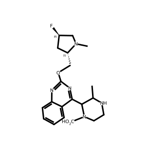 CC1NCCN(C(=O)O)C1c1nc(OC[C@@H]2C[C@@H](F)CN2C)nc2ccccc12